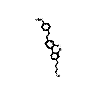 CCCCCCc1ccc(CCc2ccc(-c3ccc(CCCCO)cc3CC)c(CC)c2)cc1